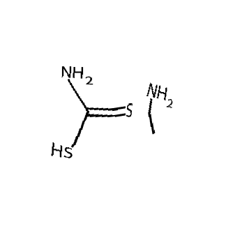 CN.NC(=S)S